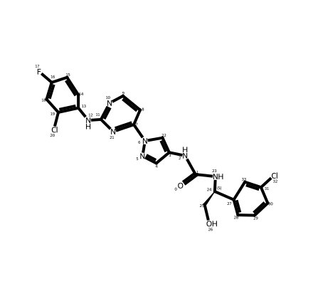 O=C(Nc1cnn(-c2ccnc(Nc3ccc(F)cc3Cl)n2)c1)N[C@H](CO)c1cccc(Cl)c1